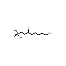 COCCCCC(=O)CCP(=O)(O)O